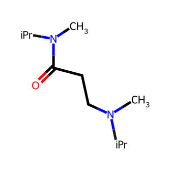 CC(C)N(C)CCC(=O)N(C)C(C)C